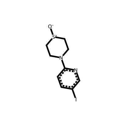 [O-][S+]1CCN(c2ccc(I)cn2)CC1